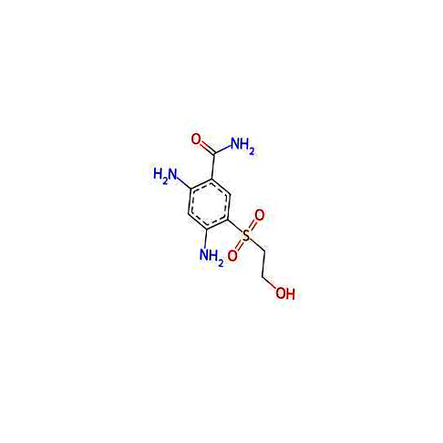 NC(=O)c1cc(S(=O)(=O)CCO)c(N)cc1N